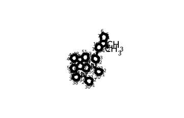 CC1(C)c2ccccc2-c2ccc(-c3ccc(N(c4ccccc4)c4cc(N(c5ccccc5)c5ccccc5)c5c(c4)C4(c6ccccc6-c6ccccc64)c4ccccc4-5)cc3)cc21